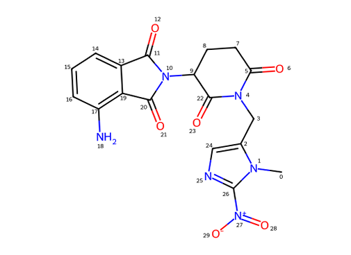 Cn1c(CN2C(=O)CCC(N3C(=O)c4cccc(N)c4C3=O)C2=O)cnc1[N+](=O)[O-]